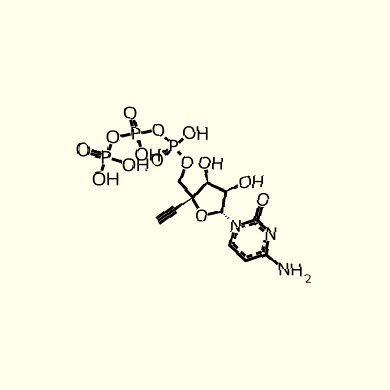 C#C[C@]1(COP(=O)(O)OP(=O)(O)OP(=O)(O)O)O[C@@H](n2ccc(N)nc2=O)[C@H](O)[C@@H]1O